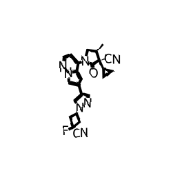 C[C@@H]1CN(c2ccnn3cc(-c4cnn(C5CC(F)(C#N)C5)c4)cc23)C(=O)[C@]1(C#N)C1CC1